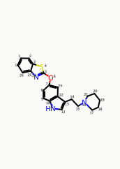 c1ccc2sc(Oc3ccc4[nH]cc(CCN5CCCCC5)c4c3)nc2c1